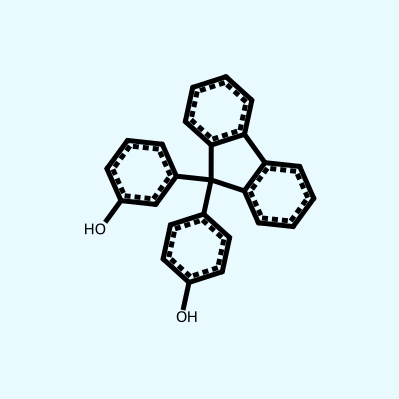 Oc1ccc(C2(c3cccc(O)c3)c3ccccc3-c3ccccc32)cc1